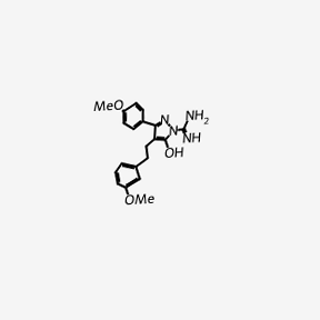 COc1ccc(-c2nn(C(=N)N)c(O)c2CCc2cccc(OC)c2)cc1